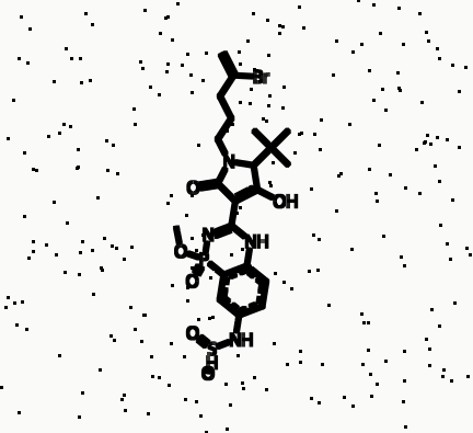 C=C(Br)CCCN1C(=O)C(C2=NP(=O)(OC)c3cc(N[SH](=O)=O)ccc3N2)=C(O)C1C(C)(C)C